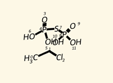 CCCl.O=P(O)(O)SP(=O)(O)O